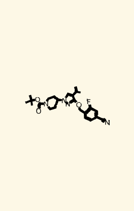 C=C(C)c1cn(C2CCN(C(=O)OC(C)(C)C)CC2)nc1OCc1ccc(C#N)cc1F